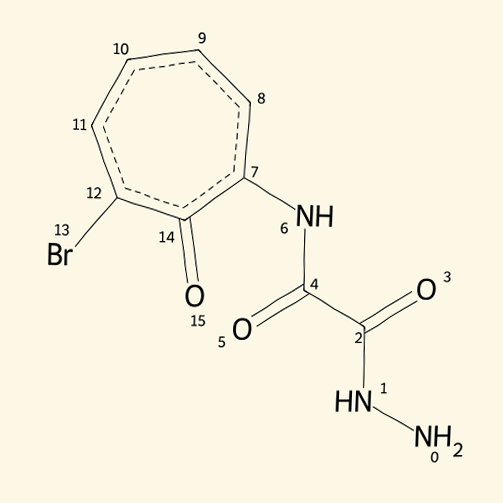 NNC(=O)C(=O)Nc1ccccc(Br)c1=O